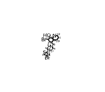 Oc1c(Br)cc(CN2CCN(c3nc(Br)cs3)CC2)c2cccnc12